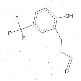 O=CCCc1cc(C(F)(F)F)ccc1O